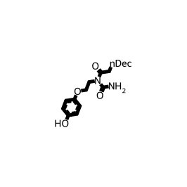 CCCCCCCCCCCC(=O)N(CCOc1ccc(O)cc1)C(N)=O